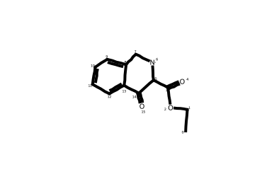 CCOC(=O)C1[N]Cc2ccccc2C1=O